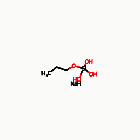 CCCO[Si](O)(O)O.[NaH]